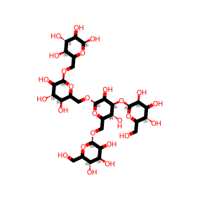 OCC1O[C@@H](O[C@@H]2C(O)[C@@H](OCC3O[C@H](OCC4O[C@H](O)C(O)[C@@H](O)[C@@H]4O)C(O)[C@@H](O)[C@@H]3O)OC(CO[C@H]3OC(CO)[C@@H](O)[C@H](O)C3O)[C@H]2O)[C@@H](O)C(O)[C@@H]1O